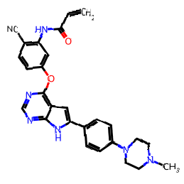 C=CC(=O)Nc1cc(Oc2ncnc3[nH]c(-c4ccc(N5CCN(C)CC5)cc4)cc23)ccc1C#N